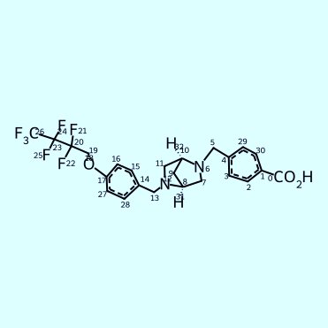 O=C(O)c1ccc(CN2C[C@@H]3C[C@H]2CN3Cc2ccc(OCC(F)(F)C(F)(F)C(F)(F)F)cc2)cc1